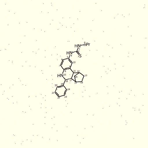 CCCNC(=S)Nc1ccc2c(c1)C1C3CCC(C3)C1C(c1ccccc1)N2